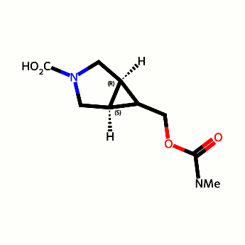 CNC(=O)OCC1[C@H]2CN(C(=O)O)C[C@@H]12